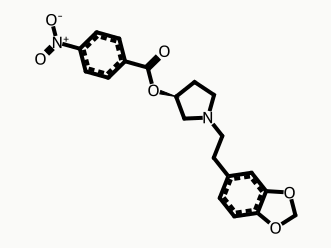 O=C(O[C@H]1CCN(CCc2ccc3c(c2)OCO3)C1)c1ccc([N+](=O)[O-])cc1